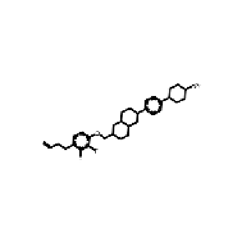 C=CCCc1ccc(OCC2CCC3CC(c4ccc(C5CCC(CCC)CC5)cc4)CCC3C2)c(F)c1F